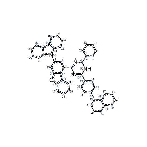 c1ccc(C2N=C(c3cc(-n4c5ccccc5c5ccccc54)cc4oc5ncccc5c34)N=C(c3ccc(-c4cccc5ccccc45)cc3)N2)cc1